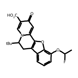 CC(F)Oc1cccc2c3c(oc12)-c1cc(=O)c(C(=O)O)cn1C(C(C)(C)C)C3